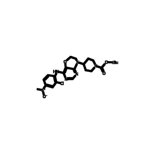 C[S+]([O-])c1ccc(Nc2ncnc3c2OCCN3C2CCN(C(=O)OC(C)(C)C)CC2)c(Cl)c1